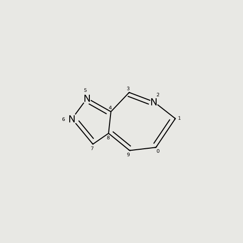 c1cncc2nncc-2c1